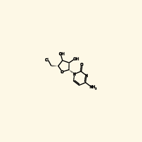 Nc1ccn([C@@H]2O[C@H](CCl)C(O)C2O)c(=O)n1